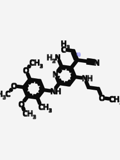 C/C=C(/C#N)c1c(NCCOC)cc(Nc2cc(OC)c(OC)c(OC)c2C)nc1N